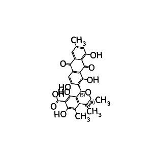 Cc1cc(O)c2c(c1)C(=O)c1cc(O)c([C@H]3O[C@H](C)[C@@H](C)c4c(C)c(O)c(C(=O)O)c(O)c43)c(O)c1C2=O